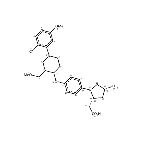 COCC1CN(c2cc(OC)ncc2Cl)CCC1Oc1ccc(N2C[C@H](C)C[C@@H]2CC(=O)O)cc1